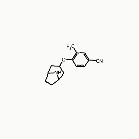 N#Cc1ccc(OC2CC3CCC(C2)N3)c(C(F)(F)F)c1